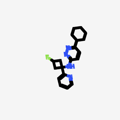 FC1CC(Nc2ccc(C3CCCCC3)nn2)(c2ccccn2)C1